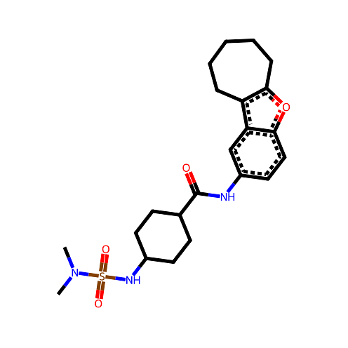 CN(C)S(=O)(=O)NC1CCC(C(=O)Nc2ccc3oc4c(c3c2)CCCCC4)CC1